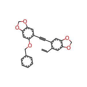 C=Cc1cc2c(cc1C#Cc1cc3c(cc1OCc1ccccc1)OCO3)OCO2